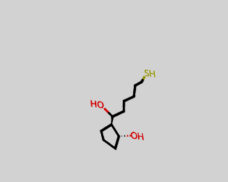 OC(CCCCCS)[C@@H]1CCC[C@H]1O